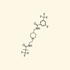 CC(C)(C(=O)NCCN1CCC(CNC(=O)c2cc(F)cc(C(F)(F)F)c2)CC1)C(F)(F)F